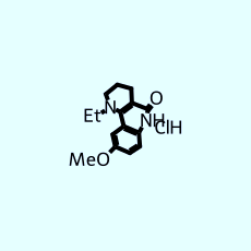 CCN1CCCc2c1c1cc(OC)ccc1[nH]c2=O.Cl